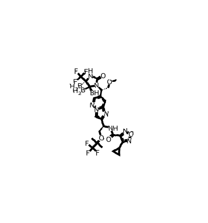 BC1(B)N([C@H](COC)c2cnn3cc([C@H](COC(C)(C)C(F)(F)F)NC(=O)c4nonc4C4CC4)nc3c2)C(=O)N[C@]1(B)C(F)(F)F